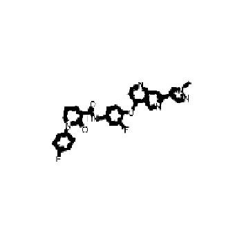 Cn1cc(-c2cc3nccc(Oc4ccc(NC(=O)c5cccn(-c6ccc(F)cc6)c5=O)cc4F)c3cn2)cn1